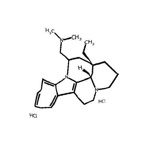 CC[C@]12CCCN3CCc4c(n(c5ccccc45)C(CN(C)C)C1)[C@@H]32.Cl.Cl